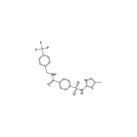 Cc1cnc(NS(=O)(=O)c2ccc(C(=O)NCc3ccc(C(F)(F)F)cc3)cc2)s1